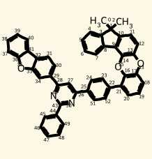 CC1(C)c2ccccc2-c2c1ccc1c2Oc2c(cccc2-c2ccc(-c3cc(-c4ccc5c(c4)oc4ccccc45)nc(-c4ccccc4)n3)cc2)O1